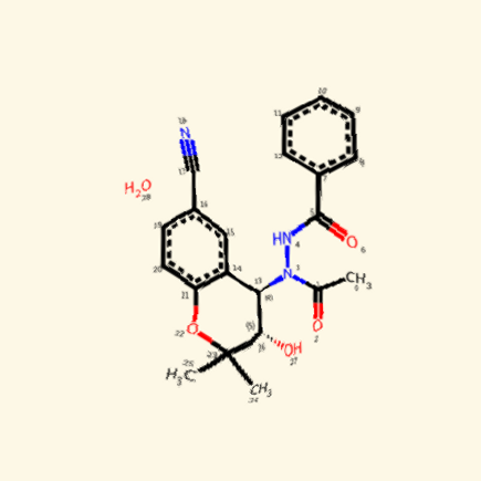 CC(=O)N(NC(=O)c1ccccc1)[C@@H]1c2cc(C#N)ccc2OC(C)(C)[C@H]1O.O